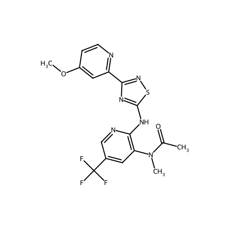 COc1ccnc(-c2nsc(Nc3ncc(C(F)(F)F)cc3N(C)C(C)=O)n2)c1